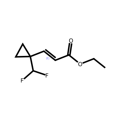 CCOC(=O)/C=C/C1(C(F)F)CC1